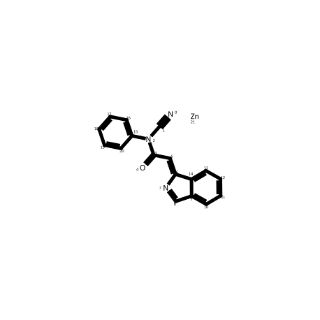 N#CN(C(=O)C=C1N=Cc2ccccc21)c1ccccc1.[Zn]